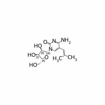 CC(C)=Cc1cn([C@@H]2O[C@H](CO)[C@@H](O)[C@H]2O)c(=O)nc1N